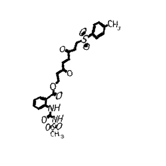 Cc1ccc(S(=O)(=O)CCC(=O)CCC(=O)CCOC(=O)c2ccccc2NC(=O)NS(C)(=O)=O)cc1